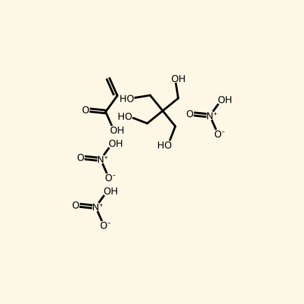 C=CC(=O)O.O=[N+]([O-])O.O=[N+]([O-])O.O=[N+]([O-])O.OCC(CO)(CO)CO